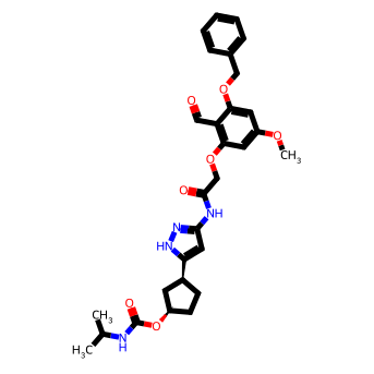 COc1cc(OCC(=O)Nc2cc([C@H]3CC[C@@H](OC(=O)NC(C)C)C3)[nH]n2)c(C=O)c(OCc2ccccc2)c1